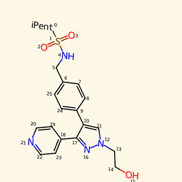 CCCC(C)S(=O)(=O)NCc1ccc(-c2cn(CCO)nc2-c2ccncc2)cc1